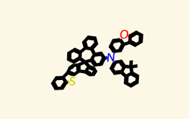 CC1(C)c2ccccc2-c2ccc(N(c3ccc4c(c3)-c3ccccc3-c3ccccc3C43c4ccccc4-c4c3ccc3c4sc4ccccc43)c3ccc4oc5ccccc5c4c3)cc21